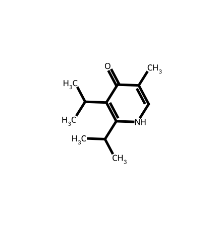 Cc1c[nH]c(C(C)C)c(C(C)C)c1=O